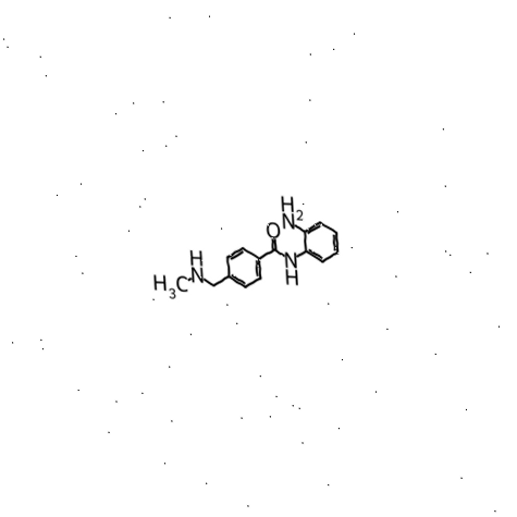 CNCc1ccc(C(=O)Nc2ccccc2N)cc1